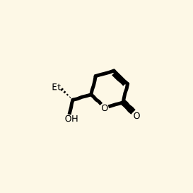 CC[C@@H](O)C1CC=CC(=O)O1